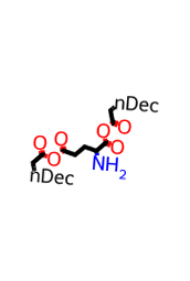 CCCCCCCCCCCC(=O)OC(=O)CCC(N)C(=O)OC(=O)CCCCCCCCCCC